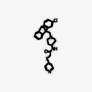 O=C(CSc1ccncc1)NC1CCN(CC23CC(c4ccccc42)c2ccc(Cl)cc23)CC1